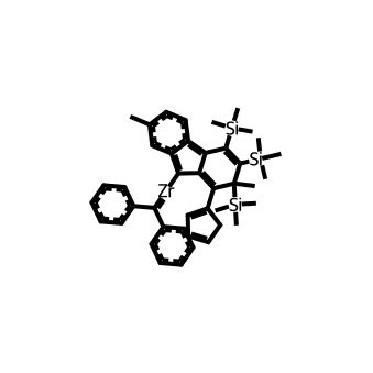 Cc1ccc2c(c1)=[C]([Zr]=[C](c1ccccc1)c1ccccc1)C1=C(C3=CC=CC3)C(C)([Si](C)(C)C)C([Si](C)(C)C)=C([Si](C)(C)C)C=21